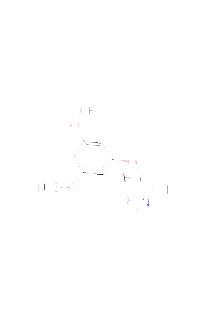 CN.COc1cc(OC)cc(OC)c1